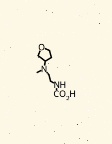 CN(CCNC(=O)O)C1CCOC1